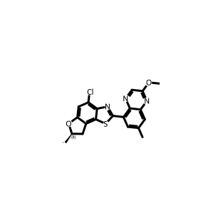 [CH2][C@@H]1Cc2c(cc(Cl)c3nc(-c4cc(C)cc5nc(OC)cnc45)sc23)O1